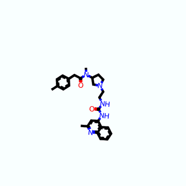 Cc1ccc(CC(=O)N(C)C2CCN(CCNC(=O)Nc3cc(C)nc4ccccc34)C2)cc1